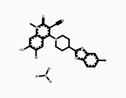 BrB(Br)Br.Cc1ccc2oc(C3CCN(c4c(C#N)c(=O)n(C)c5cc(O)c(Br)cc45)CC3)nc2c1